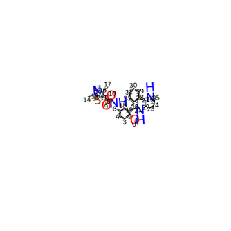 COc1ccc(CNS(=O)(=O)c2sc(C)nc2C)cc1CNC1CCCNC1c1ccccc1